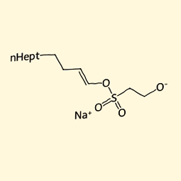 CCCCCCCCCC=COS(=O)(=O)CC[O-].[Na+]